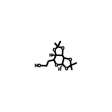 CC1(C)OC2C3OC(C)(C)O[C@H]3C(CCO)O[C@@H]2O1